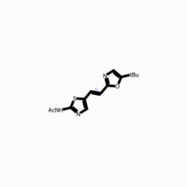 CC(=O)Nc1ncc(/C=C/c2ncc(C(C)(C)C)o2)s1